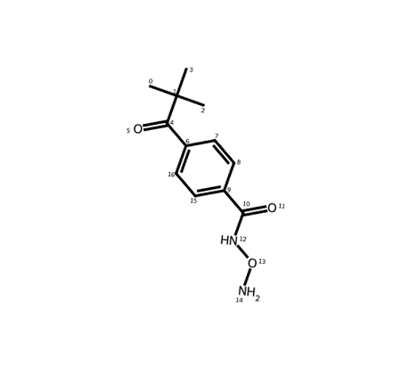 CC(C)(C)C(=O)c1ccc(C(=O)NON)cc1